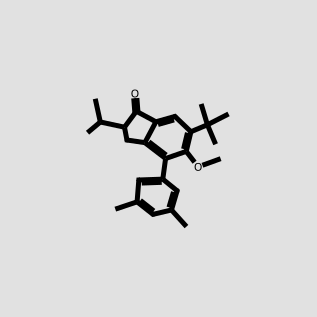 COc1c(C(C)(C)C)cc2c(c1-c1cc(C)cc(C)c1)CC(C(C)C)C2=O